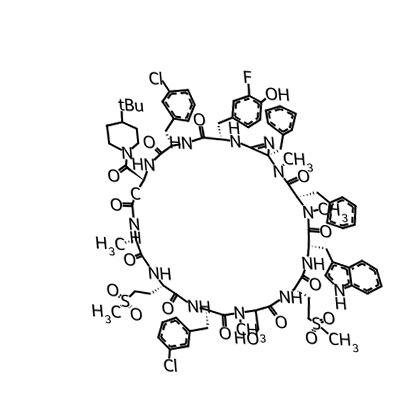 C[C@@H]1NC(=O)C[C@@H](C(=O)N2CCC(C(C)(C)C)CC2)NC(=O)[C@H](Cc2cccc(Cl)c2)NC(=O)[C@H](Cc2ccc(O)c(F)c2)NC2=N[C@@]2(Cc2ccccc2)N(C)C(=O)[C@H](Cc2ccccc2)N(C)C(=O)[C@H](Cc2c[nH]c3ccccc23)NC(=O)[C@H](CCS(C)(=O)=O)NC(=O)C(CO)N(C)C(=O)[C@H](Cc2cccc(Cl)c2)NC(=O)[C@H](CCS(C)(=O)=O)NC1=O